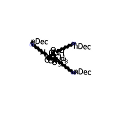 CCCCCCCCCC/C=C\CCCCCCCCNC(=O)C1(C)C[C@](C)(C(=O)NCCCCCCCC/C=C\CCCCCCCCCC)C[C@@](C)(C(=O)NCCCCCCCC/C=C\CCCCCCCCCC)C1